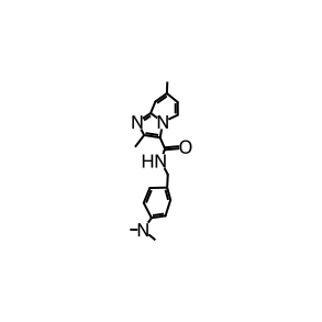 Cc1ccn2c(C(=O)NCc3ccc(N(C)C)cc3)c(C)nc2c1